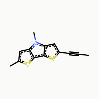 CC#Cc1cc2c(s1)c1sc(C)cc1n2C